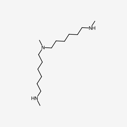 CNCCCCCCN(C)CCCCCCNC